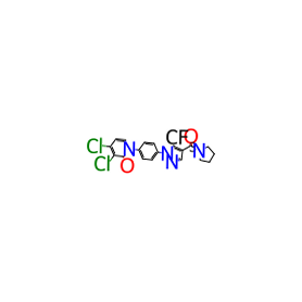 O=C(c1cnn(-c2ccc(-n3ccc(Cl)c(Cl)c3=O)cc2)c1C(F)(F)F)N1CCCC1